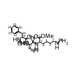 COC(=O)C(CCCCNP)NC(=O)[C@@H](CC(C)C)NC(=O)C(Cc1ccccc1)NC=O